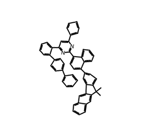 CC1(C)c2ccc(-c3ccc(-c4nc(-c5ccccc5)cc(-c5ccccc5-c5ccc(-c6ccccc6)cc5)n4)c4ccccc34)cc2-c2cc3ccccc3cc21